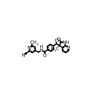 Cc1cc(CNC(=O)c2ccc(C(C)[C@@]3(C)C(=O)Nc4ncccc43)cc2)cc(C#N)n1